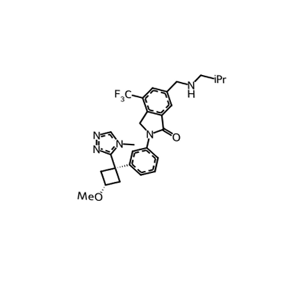 CO[C@H]1C[C@](c2cccc(N3Cc4c(cc(CNCC(C)C)cc4C(F)(F)F)C3=O)c2)(c2nncn2C)C1